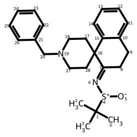 CC(C)(C)[S+]([O-])/N=C1\CCc2ccccc2C12CCN(Cc1ccccc1)CC2